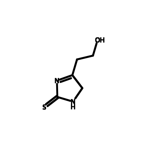 OCCC1=NC(=S)NC1